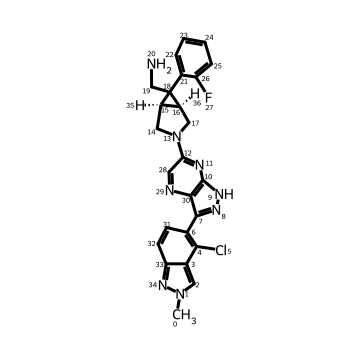 Cn1cc2c(Cl)c(-c3n[nH]c4nc(N5C[C@@H]6[C@H](C5)C6(CN)c5ccccc5F)cnc34)ccc2n1